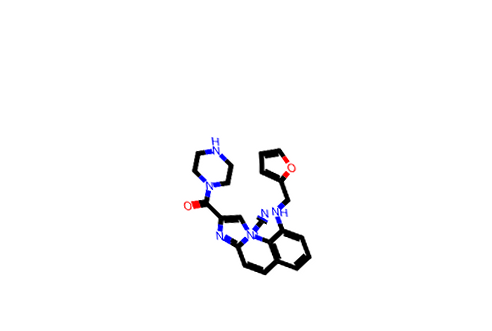 N#C[N+]12C=C(C(=O)N3CCNCC3)N=C1C=Cc1cccc(NCc3ccco3)c12